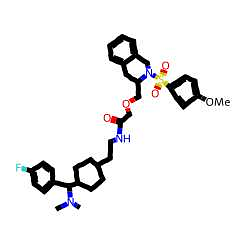 COc1ccc(S(=O)(=O)N2Cc3ccccc3CC2COCC(=O)NCCC2CCC(C(c3ccc(F)cc3)N(C)C)CC2)cc1